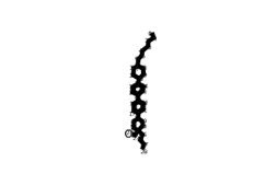 CCCCCCCC1CCC(c2ccc(-c3ccc(C4CCC(C=O)(CCCC)CC4)cc3)cc2)CC1